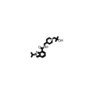 CC(C)n1cc2cccc(C(=O)NCC3CCN(CC(C)(C)O)CC3)c2n1